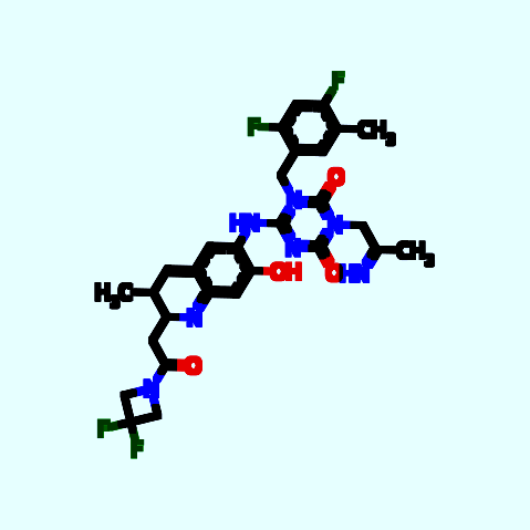 CC(=N)Cn1c(=O)nc(Nc2cc3c(cc2O)=NC(CC(=O)N2CC(F)(F)C2)C(C)C=3)n(Cc2cc(C)c(F)cc2F)c1=O